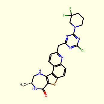 C[C@@H]1CNc2c(sc3ccc4nc(Cc5nc(Cl)nc(N6CCCC(F)(F)C6)n5)ccc4c23)C(=O)N1